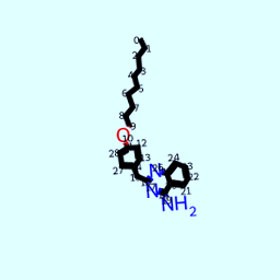 CCCCCCCCCCOc1ccc(Cc2nc(N)c3ccccc3n2)cc1